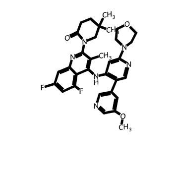 COc1cncc(-c2cnc(N3CCOCC3)cc2Nc2c(C)c(N3CC(C)(C)CCC3=O)nc3cc(F)cc(F)c23)c1